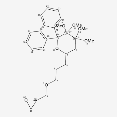 CO[Si]1(OC)CC(CCCOCC2CO2)O[Si](c2ccccc2)(c2ccccc2)[Si]1(OC)OC